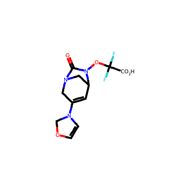 O=C1N2CC(N3C=COC3)=CC(C2)N1OC(F)(F)C(=O)O